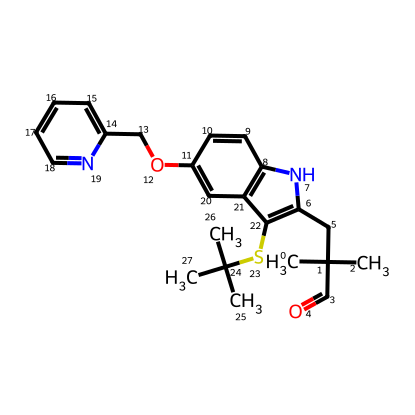 CC(C)(C=O)Cc1[nH]c2ccc(OCc3ccccn3)cc2c1SC(C)(C)C